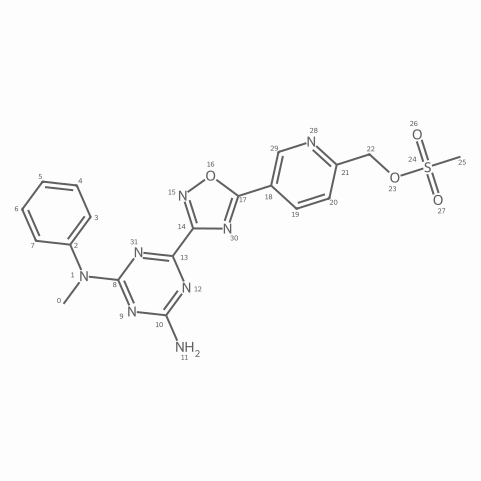 CN(c1ccccc1)c1nc(N)nc(-c2noc(-c3ccc(COS(C)(=O)=O)nc3)n2)n1